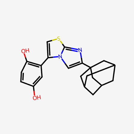 Oc1ccc(O)c(-c2csc3nc(C45CC6CC(CC(C6)C4)C5)cn23)c1